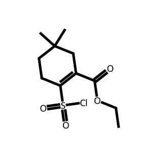 CCOC(=O)C1=C(S(=O)(=O)Cl)CCC(C)(C)C1